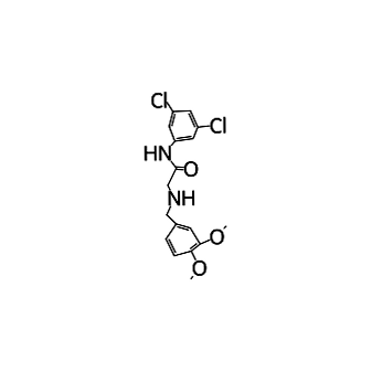 COc1ccc(CNCC(=O)Nc2cc(Cl)cc(Cl)c2)cc1OC